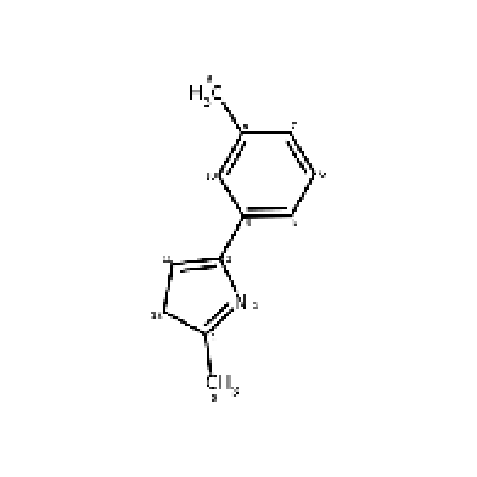 CC1=NC(c2cccc(C)c2)=CC1